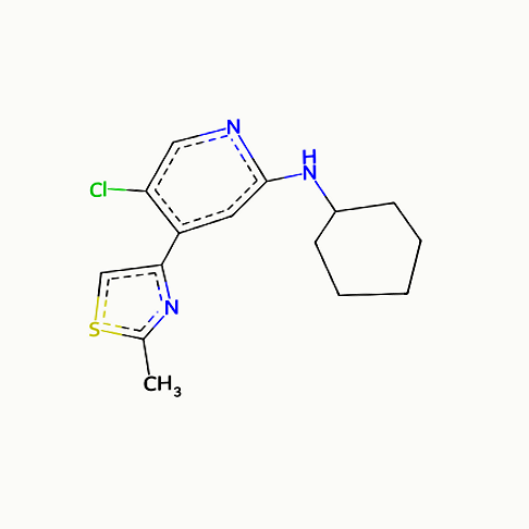 Cc1nc(-c2cc(NC3CCCCC3)ncc2Cl)cs1